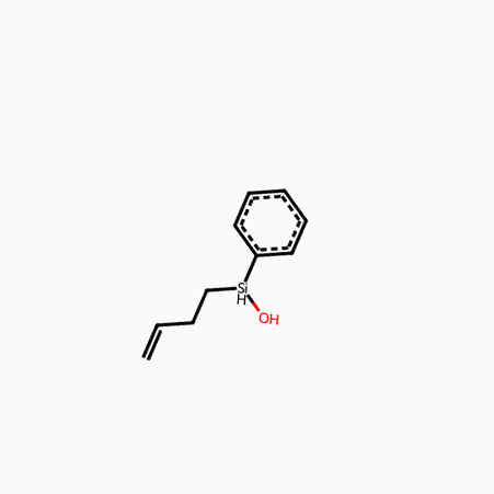 C=CCC[SiH](O)c1ccccc1